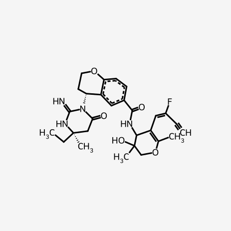 C#C/C(F)=C\C1=C(C)OCC(C)(O)C1NC(=O)c1ccc2c(c1)[C@H](N1C(=N)N[C@](C)(CC)CC1=O)CCO2